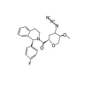 CO[C@H]1CO[C@@H](C(=O)N2CCc3ccccc3[C@@H]2c2ccc(F)cc2)CC1N=[N+]=[N-]